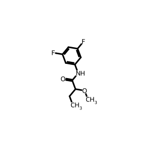 CCC(OC)C(=O)Nc1cc(F)cc(F)c1